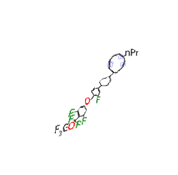 CCCC1=C/C/C=C\C(C2CCC(c3ccc(COC4=CC(F)=C(C(F)(F)OC(F)(F)F)C(F)C4)c(F)c3)CC2)C/C=C\1